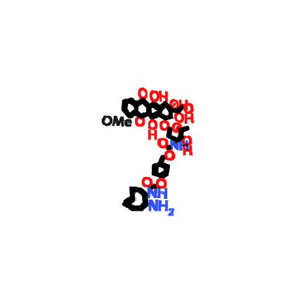 COc1cccc2c1C(=O)c1c(O)c3c(c(O)c1C2=O)C[C@@](O)(C(=O)CO)C[C@@H]3O[C@H]1C[C@@H](NC(=O)OCc2ccc(OC(=O)N[C@@H]3CC/C=C/CC[C@@H]3N)cc2)[C@H](O)C(C)O1